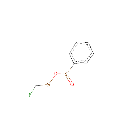 O=S(OSCF)c1ccccc1